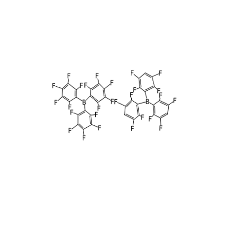 Fc1c(F)c(F)c(B(c2c(F)c(F)c(F)c(F)c2F)c2c(F)c(F)c(F)c(F)c2F)c(F)c1F.Fc1cc(F)c(F)c(B(c2c(F)c(F)cc(F)c2F)c2c(F)c(F)cc(F)c2F)c1F